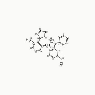 CB(c1ccccc1)c1cccc(CCl)c1.Cc1cccc(C)c1-n1ccnc1